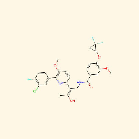 COc1cc(C(=O)NC/C(=C(/C)O)c2ccc(OC)c(-c3ccc(F)c(Cl)c3)n2)ccc1OC1CC1(F)F